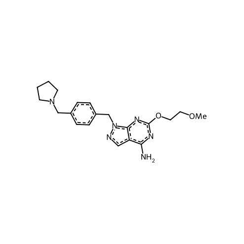 COCCOc1nc(N)c2cnn(Cc3ccc(CN4CCCC4)cc3)c2n1